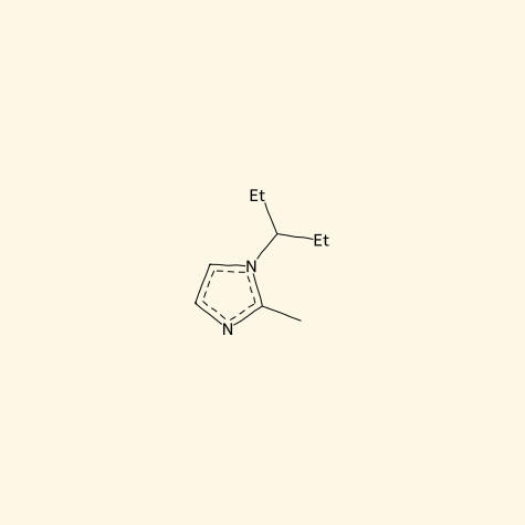 CCC(CC)n1ccnc1C